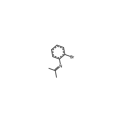 CC(C)=Nc1ccccc1Br